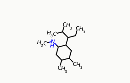 CCC(C(C)C)C1CC(C)C(C)CC1NC